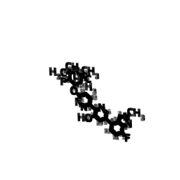 Cn1cc2c(-c3cnc(-c4ccc(O[C@@H]5CC(C)(C)NC(C)(C)[C@@H]5F)nn4)c(O)c3)ccc(F)c2n1